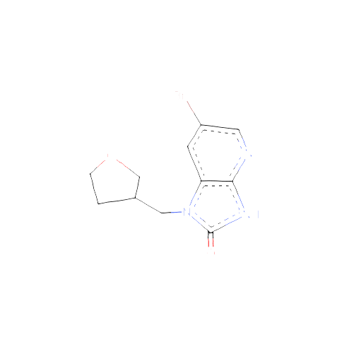 O=c1[nH]c2ncc(Br)cc2n1CC1CCOC1